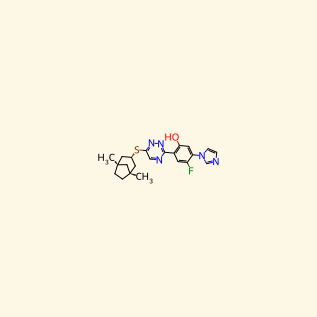 C[C@]12CC[C@](C)(C[C@@H](Sc3cnc(-c4cc(F)c(-n5ccnc5)cc4O)nn3)C1)C2